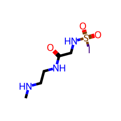 CNCCNC(=O)CNS(=O)(=O)I